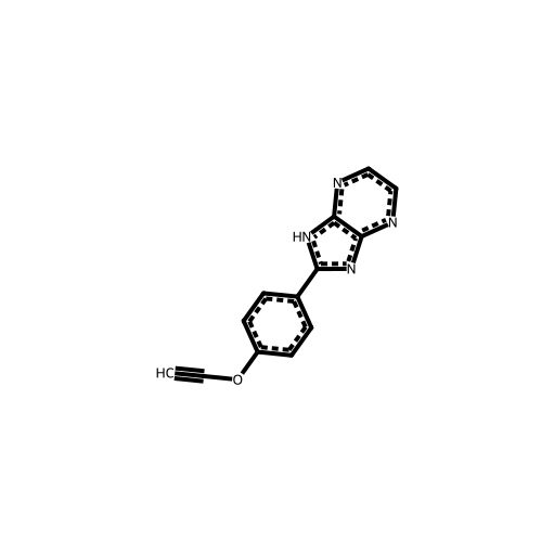 C#COc1ccc(-c2nc3nccnc3[nH]2)cc1